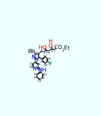 CCOC(=O)C[C@H](O)C[C@H](O)CCc1c(C(C)CC)nn(-c2ccnc(Nc3ccccc3)c2)c1-c1ccc(F)cc1